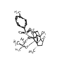 Cc1ccc(S(=O)(=O)OC2=CC34C(O[Si](C)(C)C)C5(O)OCC(C)(C25C)C32OC2C[C@@H]4C)cc1